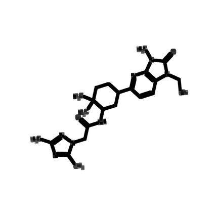 Cc1nc(C)n(CC(=O)NC2CC(c3ccc4c(n3)n(C)c(=O)n4CC(C)(C)C)CCC2(C)C)n1